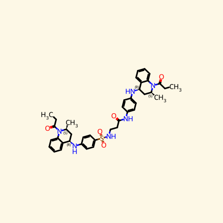 CCC(=O)N1c2ccccc2[C@H](Nc2ccc(NC(=O)CCNS(=O)(=O)c3ccc(N[C@@H]4C[C@H](C)N(C(=O)CC)c5ccccc54)cc3)cc2)C[C@@H]1C